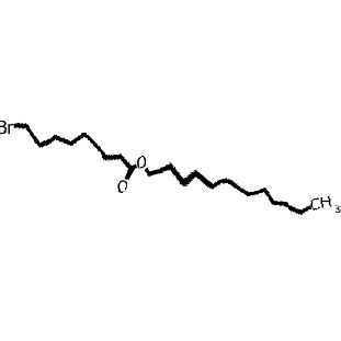 CCCCCCCCCCCCOC(=O)CCCCCCCBr